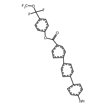 CCCc1ccc(-c2ccc(-c3ccc(C(=O)Oc4ccc(C(F)(F)OC(F)(F)F)cc4)cc3)cc2)cc1